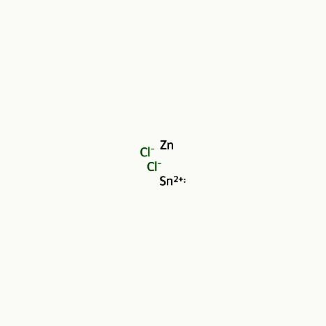 [Cl-].[Cl-].[Sn+2].[Zn]